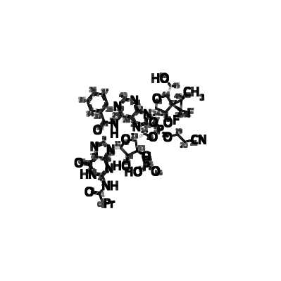 CC(C)C(=O)Nc1nc2c(ncn2[C@@H]2O[C@H](COP(=O)(OCCC#N)O[C@H]3[C@H](n4cnc5c(NC(=O)c6ccccc6)ncnc54)O[C@H](CO)[C@]34[C@@H](C)C4(F)F)[C@@H](O[PH](=O)O)[C@H]2O)c(=O)[nH]1